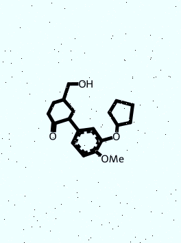 COc1ccc(C2CC(CO)CCC2=O)cc1OC1CCCC1